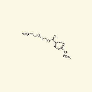 CCCCCCCCCCOc1ccc(C(=O)OCCOCCOC)cc1